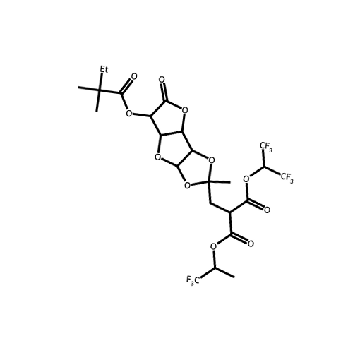 CCC(C)(C)C(=O)OC1C(=O)OC2C3OC(C)(CC(C(=O)OC(C)C(F)(F)F)C(=O)OC(C(F)(F)F)C(F)(F)F)OC3OC12